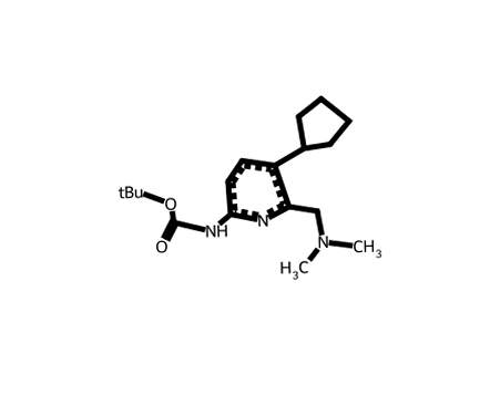 CN(C)Cc1nc(NC(=O)OC(C)(C)C)ccc1C1CCCC1